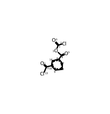 O=C(Cl)OC(=O)c1cccc(C(=O)Cl)c1